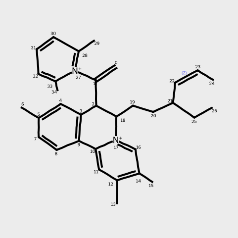 C=C(C1c2cc(C)ccc2-c2cc(C)c(C)c[n+]2C1CCC(/C=C\C)CC)[n+]1c(C)cccc1C